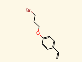 C=Cc1ccc(OCCCBr)cc1